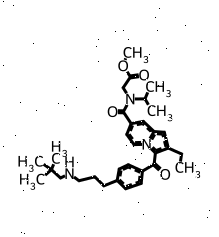 CCc1cc2cc(C(=O)N(CC(=O)OC)C(C)C)ccn2c1C(=O)c1ccc(CCCNCC(C)(C)C)cc1